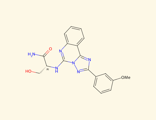 COc1cccc(-c2nc3c4ccccc4nc(N[C@H](CO)C(N)=O)n3n2)c1